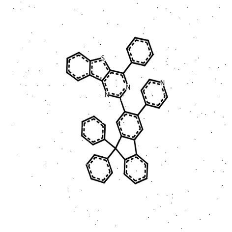 c1ccc(-c2nc(-c3cc4c(cc3-c3ccncc3)-c3ccccc3C4(c3ccccc3)c3ccccc3)nc3c2sc2ccccc23)cc1